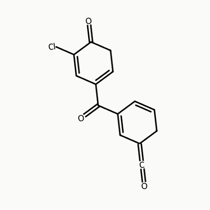 O=C=C1C=C(C(=O)C2=CCC(=O)C(Cl)=C2)C=CC1